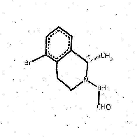 C[C@H]1c2cccc(Br)c2CCN1BC=O